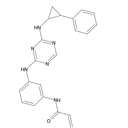 C=CC(=O)Nc1cccc(Nc2ncnc(NC3CC3c3ccccc3)n2)c1